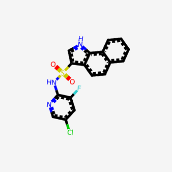 O=S(=O)(Nc1ncc(Cl)cc1F)c1c[nH]c2c1ccc1ccccc12